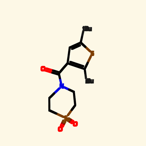 CCC(C)c1sc(C(C)(C)C)cc1C(=O)N1CCS(=O)(=O)CC1